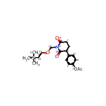 CC(=O)Oc1ccc(C2CCC(=O)N(COCC[Si](C)(C)C)C2=O)cc1